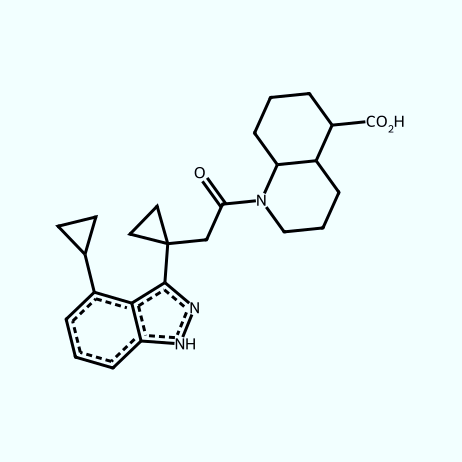 O=C(O)C1CCCC2C1CCCN2C(=O)CC1(c2n[nH]c3cccc(C4CC4)c23)CC1